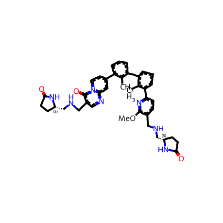 COc1nc(-c2cccc(-c3cccc(-c4ccn5c(=O)c(CNC[C@@H]6CCC(=O)N6)cnc5c4)c3C)c2C)ccc1CNC[C@@H]1CCC(=O)N1